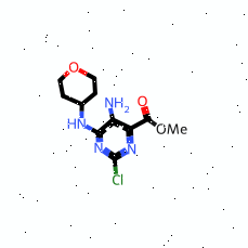 COC(=O)c1nc(Cl)nc(NC2CCOCC2)c1N